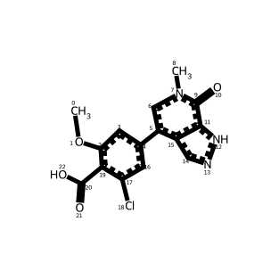 COc1cc(-c2cn(C)c(=O)c3[nH]ncc23)cc(Cl)c1C(=O)O